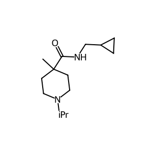 CC(C)N1CCC(C)(C(=O)NCC2CC2)CC1